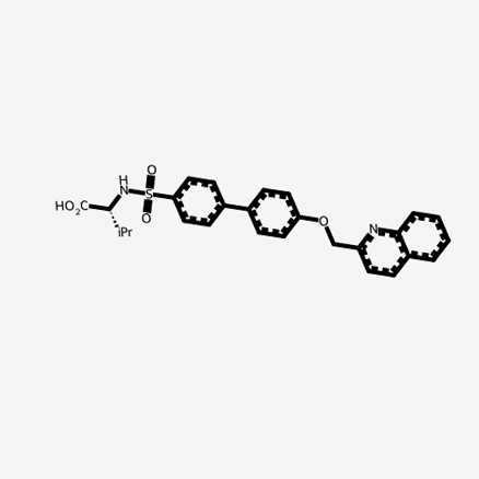 CC(C)[C@@H](NS(=O)(=O)c1ccc(-c2ccc(OCc3ccc4ccccc4n3)cc2)cc1)C(=O)O